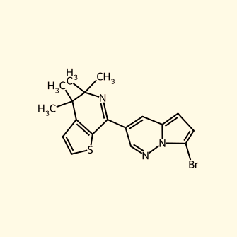 CC1(C)N=C(c2cnn3c(Br)ccc3c2)c2sccc2C1(C)C